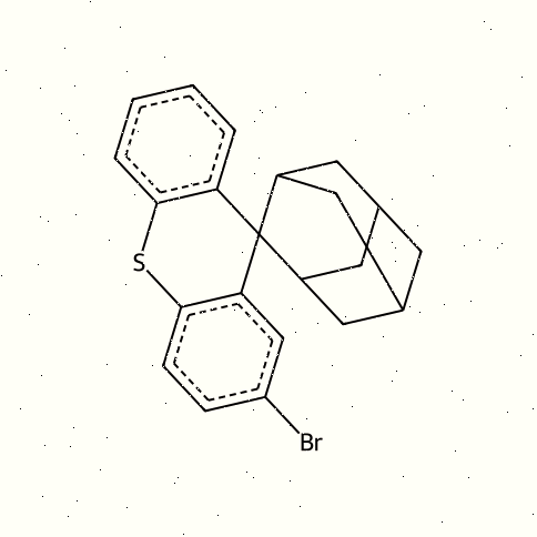 Brc1ccc2c(c1)C1(c3ccccc3S2)C2CC3CC(C2)CC1C3